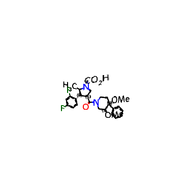 CO[C@H]1CN(C(=O)[C@@H]2CN(C(=O)O)C(C)[C@H]2c2ccc(F)cc2F)CC[C@]1(OC)c1ccccc1